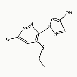 CCSc1cc(Cl)nnc1-n1cc(O)cn1